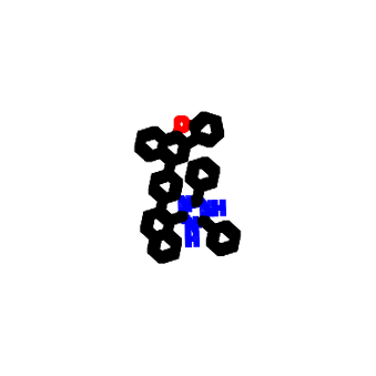 c1ccc(C2=NC(c3c(-c4ccc(-c5cc6c7ccccc7oc6c6ccccc56)cc4)ccc4ccccc34)NC(c3ccccc3)N2)cc1